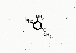 COc1ccc([N+]#N)c(N)c1